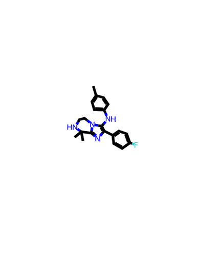 Cc1ccc(Nc2c(-c3ccc(F)cc3)nc3n2CCNC3(C)C)cc1